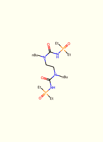 CCCCN(CCN(CCCC)C(=O)NP(=O)(CC)CC)C(=O)NP(=O)(CC)CC